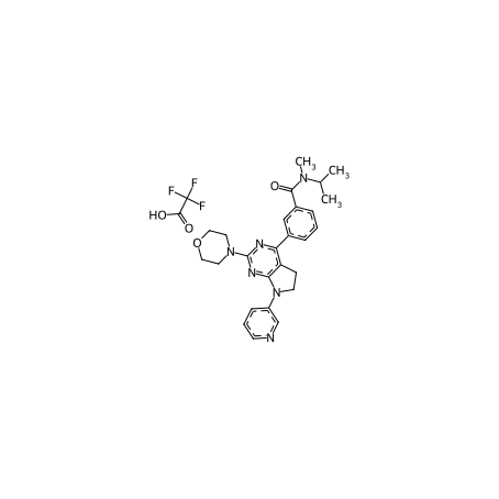 CC(C)N(C)C(=O)c1cccc(-c2nc(N3CCOCC3)nc3c2CCN3c2cccnc2)c1.O=C(O)C(F)(F)F